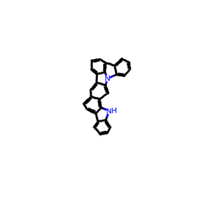 c1ccc2c(c1)[nH]c1c3cc4c(cc3ccc21)c1cccc2c3ccccc3n4c21